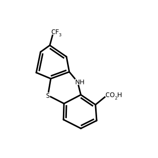 O=C(O)c1cccc2c1Nc1cc(C(F)(F)F)ccc1S2